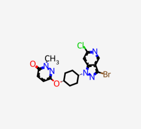 Cn1nc(O[C@H]2CC[C@@H](n3nc(Br)c4cnc(Cl)cc43)CC2)ccc1=O